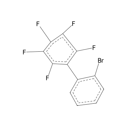 Fc1c(F)c(F)c(-c2ccccc2Br)c(F)c1F